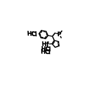 CP(C)CC(C1=[C]([Hf])CC=C1)c1ccccc1.Cl.Cl.Cl